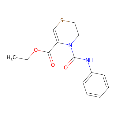 CCOC(=O)C1=CSCCN1C(=O)Nc1ccccc1